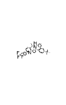 COc1cc(C(C)(C)C)ccc1C(=O)NC(C)c1ccc(OCC(F)(F)F)nc1